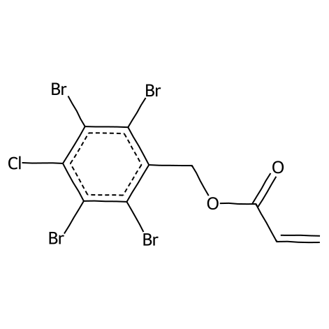 C=CC(=O)OCc1c(Br)c(Br)c(Cl)c(Br)c1Br